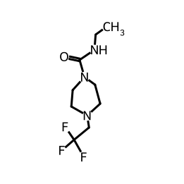 CCNC(=O)N1CCN(CC(F)(F)F)CC1